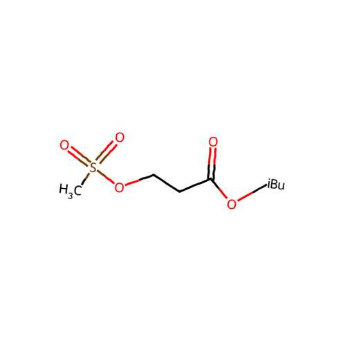 CCC(C)OC(=O)CCOS(C)(=O)=O